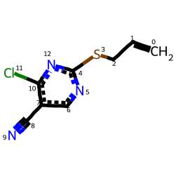 C=CCSc1ncc(C#N)c(Cl)n1